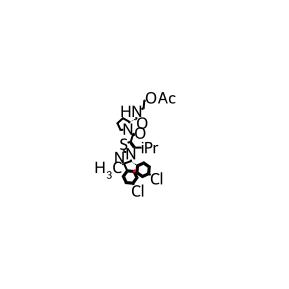 CC(=O)OCCNC(=O)[C@H]1CCCN1C(=O)C1=C(C(C)C)N2C(=N[C@@](C)(c3ccc(Cl)cc3)[C@H]2c2ccc(Cl)cc2)S1